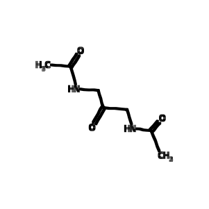 CC(=O)NCC(=O)CNC(C)=O